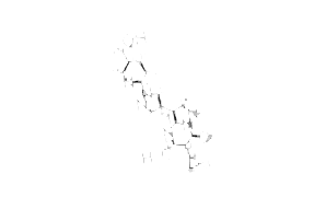 CC1=Nc2c(-c3cnn(-c4ccc(CO)cn4)c3)cnn2C(=O)C1C1CC1